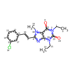 CCn1c(=O)c2c(nc(/C=C/c3cccc(Cl)c3)n2C)n(CC)c1=O